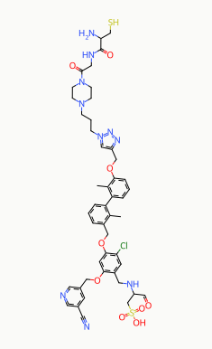 Cc1c(COc2cc(OCc3cncc(C#N)c3)c(CNC(C=O)CS(=O)(=O)O)cc2Cl)cccc1-c1cccc(OCc2cn(CCCN3CCN(C(=O)CNC(=O)C(N)CS)CC3)nn2)c1C